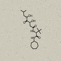 CC(C)CN(O)C(=O)[C@@H](O)CC(=O)N[C@H](C(=O)NC1CCCCCC1)C(C)(C)C